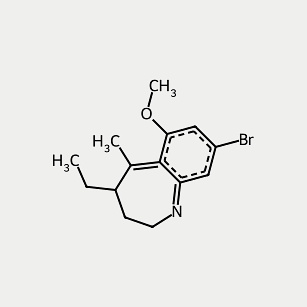 CCC1CCN=c2cc(Br)cc(OC)c2=C1C